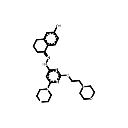 Oc1ccc2c(c1)CCC/C2=N\Nc1cc(N2CCOCC2)nc(OCCN2CCOCC2)n1